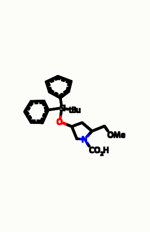 COCC1CC(O[Si](c2ccccc2)(c2ccccc2)C(C)(C)C)CN1C(=O)O